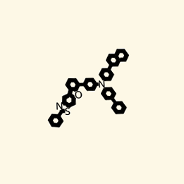 c1ccc(-c2ccc(N(c3ccc(-c4ccc5ccccc5c4)cc3)c3ccc(-c4cccc5c4oc4cc6sc(-c7ccccc7)nc6cc45)cc3)cc2)cc1